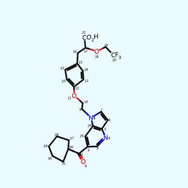 O=C(c1cnc2ccn(CCOc3ccc(CC(OCC(F)(F)F)C(=O)O)cc3)c2c1)C1CCCCC1